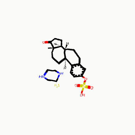 C1CNCCN1.C[C@]12CC[C@@H]3c4ccc(OS(=O)(=O)O)cc4CC[C@H]3[C@@H]1CCC2=O.S